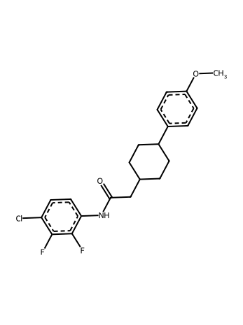 COc1ccc(C2CCC(CC(=O)Nc3ccc(Cl)c(F)c3F)CC2)cc1